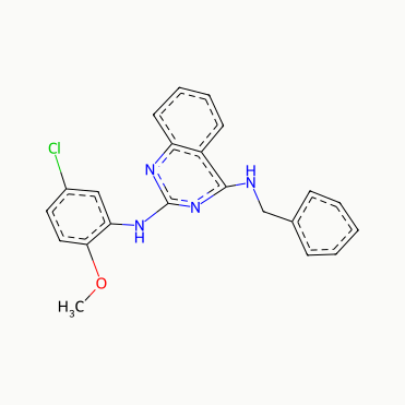 COc1ccc(Cl)cc1Nc1nc(NCc2ccccc2)c2ccccc2n1